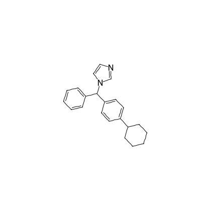 c1ccc(C(c2ccc(C3CCCCC3)cc2)n2ccnc2)cc1